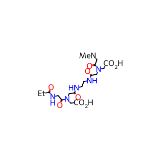 CCC(=O)NCC(=O)N(CC(=O)O)CC(=O)NCCNC(=O)CN(CC(=O)O)C(=O)CNC